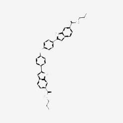 CCCNC(=O)c1ccc2cc(-c3ccc(Oc4ccc(-c5cc6ccc(C(=O)NCCC)cc6[nH]5)cc4)cc3)[nH]c2c1